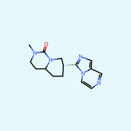 CN1CCC2CC[C@@H](c3ncc4cnccn34)CN2C1=O